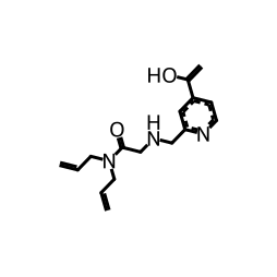 C=CCN(CC=C)C(=O)CNCc1cc(C(=C)O)ccn1